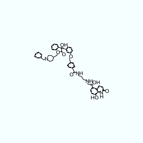 O=C(NCCCNC[C@H](O)c1ccc(O)c2[nH]c(=O)ccc12)c1ccc(COc2cccc([C@@](O)(C(=O)OCC3CCN(Cc4ccccc4)CC3)c3ccccc3)c2)cc1